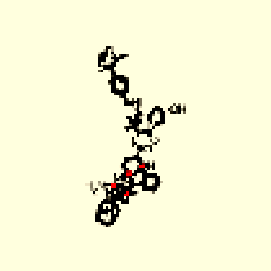 Cc1ncsc1-c1ccc(CNC(=O)[C@@H]2C[C@@H](O)CN2C(=O)[C@@H](NC(=O)[C@H]2CC[C@H](c3cnc(N4C5CCC4CN(c4cc(-c6ccccc6O)nnc4N)C5)nc3C)CC2)C(C)(C)C)cc1